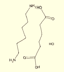 Cl.NCCCCCCN.O=C(O)CCCCC(=O)O